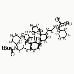 CC(C)(C)C(=O)N(CCCc1ccc(F)[c]([Ti]([C]2=CC=CC2)([C]2=CC=CC2)[c]2c(F)ccc(CCCN(C(=O)C(C)(C)C)C3CCCCC3)c2F)c1F)C1CCCCC1